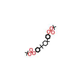 CC(C)(C)OC(=O)Oc1ccc(C2(C)CCC(C(C)(C)c3ccc(OC(=O)OC(C)(C)C)cc3)CC2)cc1